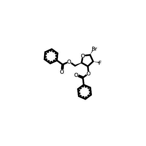 O=C(OC[C@H]1O[C@H](Br)[C@H](F)C1OC(=O)c1ccccc1)c1ccccc1